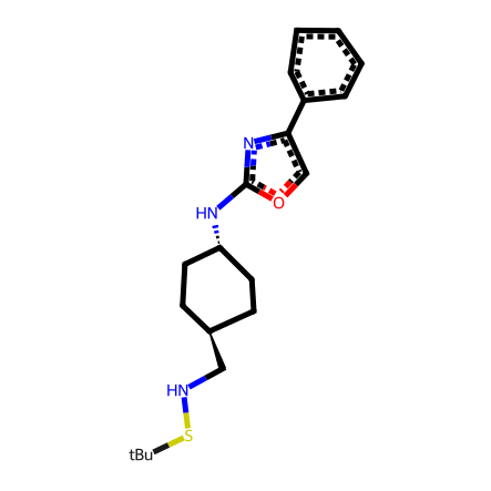 CC(C)(C)SNC[C@H]1CC[C@H](Nc2nc(-c3ccccc3)co2)CC1